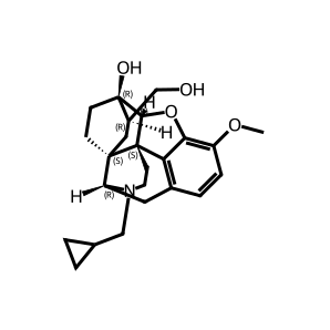 COc1ccc2c3c1O[C@H]1[C@@]4(O)CC[C@@]5(C[C@@H]4CO)[C@@H](C2)N(CC2CC2)CC[C@]315